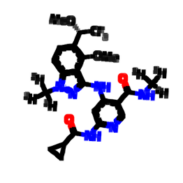 [2H]C([2H])([2H])NC(=O)c1cnc(NC(=O)C2CC2)cc1Nc1nn(C([2H])([2H])[2H])c2ccc([C@H](OC)C(F)(F)F)c(OC)c12